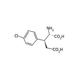 N[C@H](C(=O)O)[C@@H](CC(=O)O)c1ccc(Cl)cc1